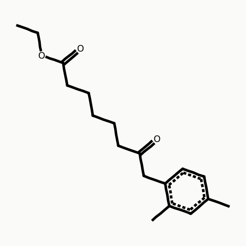 CCOC(=O)CCCCCC(=O)Cc1ccc(C)cc1C